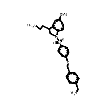 COc1ccc2c(c1)C(CCC(=O)O)CN2S(=O)(=O)c1ccc(OCc2ccc(CN)cc2)cc1